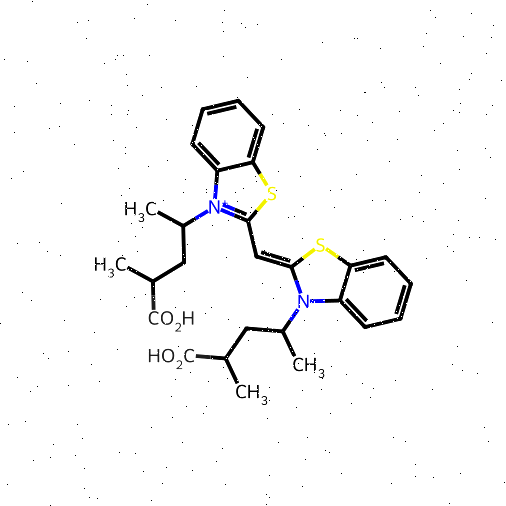 CC(CC(C)N1C(=Cc2sc3ccccc3[n+]2C(C)CC(C)C(=O)O)Sc2ccccc21)C(=O)O